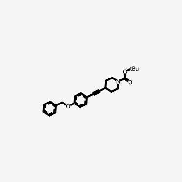 CC(C)(C)OC(=O)N1CCC(C#Cc2ccc(OCc3ccccc3)cc2)CC1